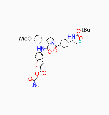 COC1CCC([C@@H]2CCN(C(=O)C3CCC([C@@H](CF)NC(=O)OC(C)(C)C)CC3)[C@H]2C(=O)Nc2ccc3oc(C(=O)OCC(=O)N(C)C)cc3c2)CC1